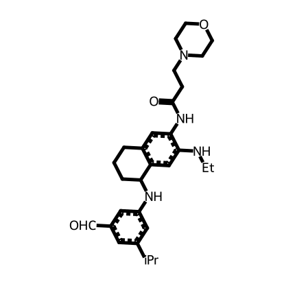 CCNc1cc2c(cc1NC(=O)CCN1CCOCC1)CCCC2Nc1cc(C=O)cc(C(C)C)c1